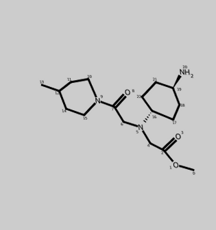 COC(=O)CN(CC(=O)N1CCC(C)CC1)[C@H]1CC[C@H](N)CC1